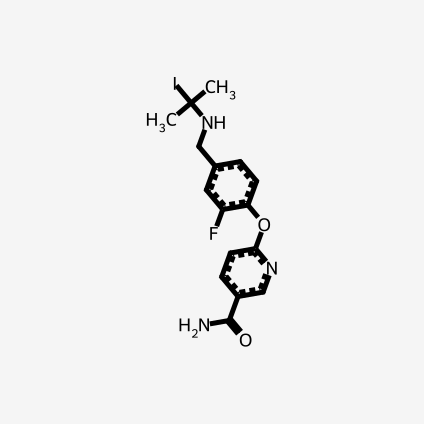 CC(C)(I)NCc1ccc(Oc2ccc(C(N)=O)cn2)c(F)c1